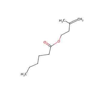 C=C(C)CCOC(=O)CCCCC